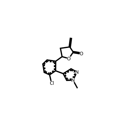 C=C1CC(c2cccc(Cl)c2-c2cnn(C)c2)OC1=O